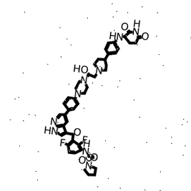 O=C1CCC(Nc2ccc(C3CCN(CC(O)N4CCN(c5ccc(-c6cnc7[nH]cc(C(=O)c8c(F)ccc(NS(=O)(=O)N9CCCC9)c8F)c7c6)cc5)CC4)CC3)cc2)C(=O)N1